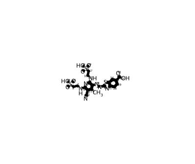 Cc1c(C#N)c(NCCS(=O)(=O)O)nc(NCCS(=O)(=O)O)c1N=Nc1nc2ccc(C(=O)O)cc2s1